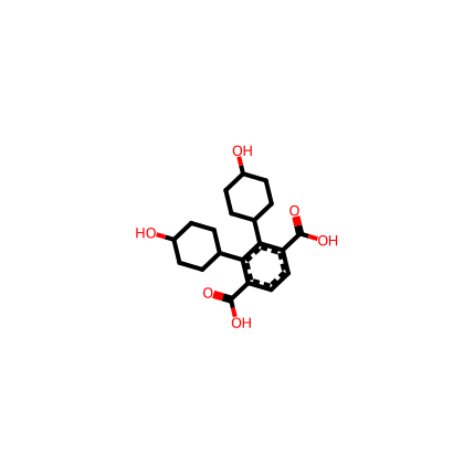 O=C(O)c1ccc(C(=O)O)c(C2CCC(O)CC2)c1C1CCC(O)CC1